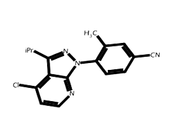 Cc1cc(C#N)ccc1-n1nc(C(C)C)c2c(Cl)ccnc21